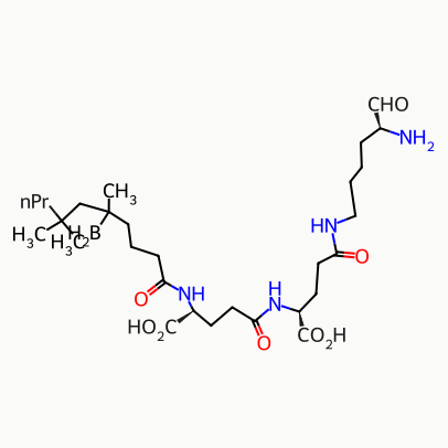 BC(C)(CCCC(=O)N[C@@H](CCC(=O)N[C@@H](CCC(=O)NCCCC[C@H](N)C=O)C(=O)O)C(=O)O)CC(C)(C)CCC